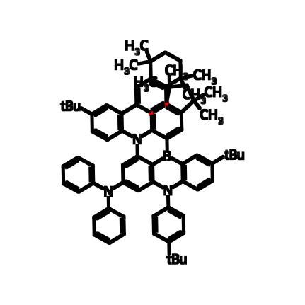 CC(C)(C)c1ccc(N2c3ccc(C(C)(C)C)cc3B3c4cc5c(cc4N(c4ccc(C(C)(C)C)cc4-c4ccc6c(c4)C(C)(C)CCC6(C)C)c4cc(N(c6ccccc6)c6ccccc6)cc2c43)C(C)(C)CC5(C)C)cc1